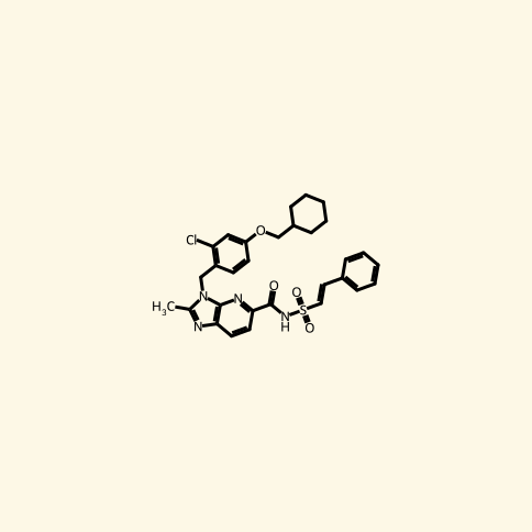 Cc1nc2ccc(C(=O)NS(=O)(=O)C=Cc3ccccc3)nc2n1Cc1ccc(OCC2CCCCC2)cc1Cl